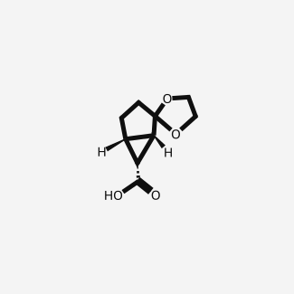 O=C(O)[C@@H]1[C@@H]2CCC3(OCCO3)[C@@H]21